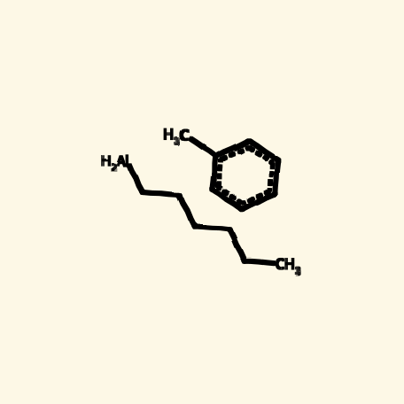 CCCCC[CH2][AlH2].Cc1ccccc1